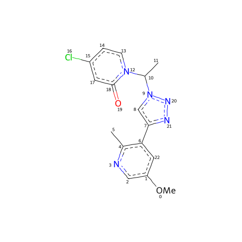 COc1cnc(C)c(-c2cn(C(C)n3ccc(Cl)cc3=O)nn2)c1